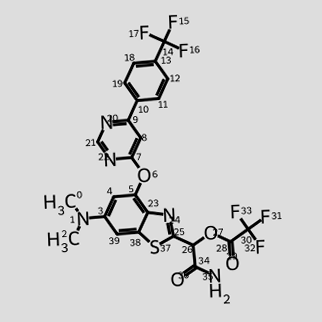 CN(C)c1cc(Oc2cc(-c3ccc(C(F)(F)F)cc3)ncn2)c2nc(C(OC(=O)C(F)(F)F)C(N)=O)sc2c1